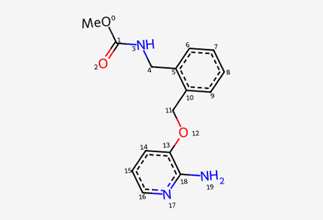 COC(=O)NCc1ccccc1COc1cccnc1N